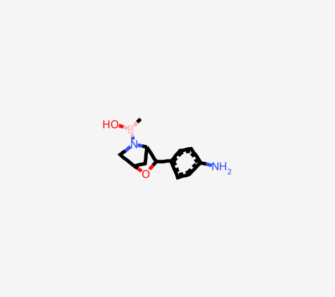 CB(O)N1CC2CC1C(c1ccc(N)cc1)O2